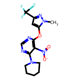 Cn1nc(C(F)(F)F)cc1Oc1ncnc(N2CCCCC2)c1[N+](=O)[O-]